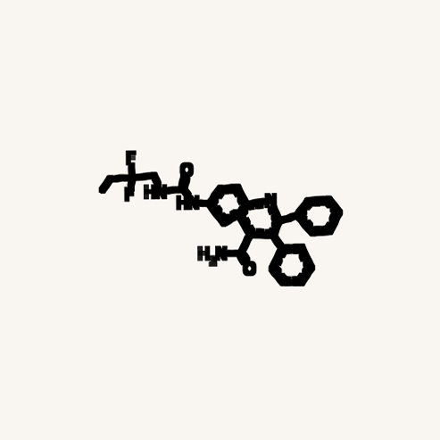 CCC(F)(F)CNC(=O)Nc1ccc2nc(-c3ccccc3)c(-c3ccccc3)c(C(N)=O)c2c1